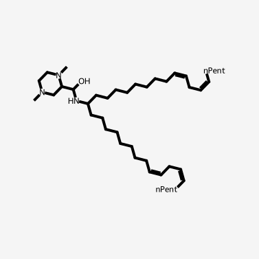 CCCCC/C=C\C/C=C\CCCCCCCCC(CCCCCCCC/C=C\C/C=C\CCCCC)NC(O)C1CN(C)CCN1C